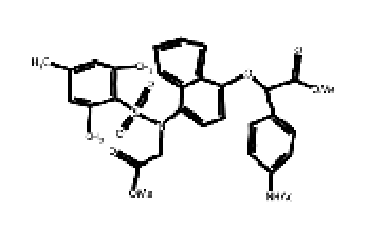 COC(=O)CN(c1ccc(OC(C(=O)OC)c2ccc(NC(C)=O)cc2)c2ccccc12)S(=O)(=O)c1c(C)cc(C)cc1C